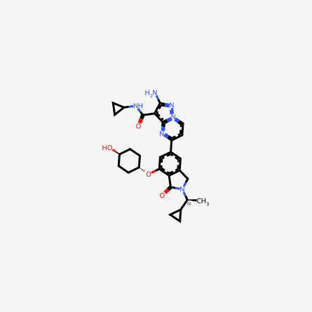 C[C@@H](C1CC1)N1Cc2cc(-c3ccn4nc(N)c(C(=O)NC5CC5)c4n3)cc(O[C@H]3CC[C@H](O)CC3)c2C1=O